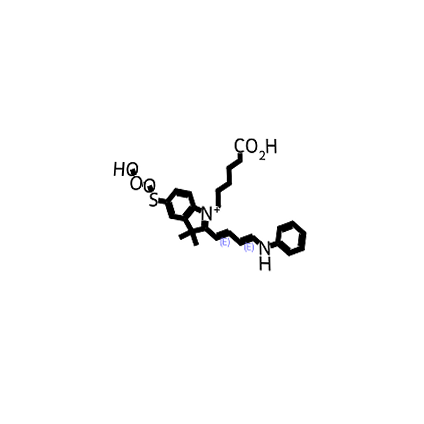 CC1(C)C(/C=C/C=C/Nc2ccccc2)=[N+](CCCCCC(=O)O)c2ccc(SOOO)cc21